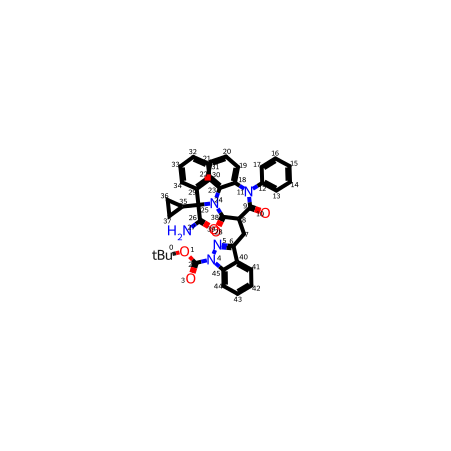 CC(C)(C)OC(=O)n1nc(CC2C(=O)N(c3ccccc3)c3ccccc3N(C(C(N)=O)(c3ccccc3)C3CC3)C2=O)c2ccccc21